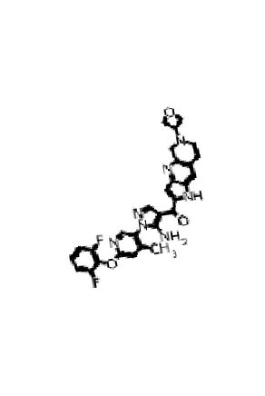 Cc1cc(Oc2c(F)cccc2F)ncc1-n1ncc(C(=O)c2cc3nc4c(cc3[nH]2)CCN(C2COC2)C4)c1N